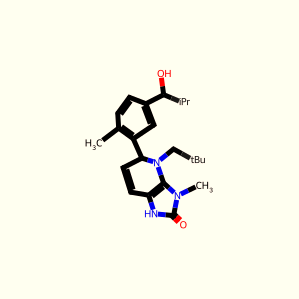 Cc1ccc(C(O)C(C)C)cc1C1C=Cc2[nH]c(=O)n(C)c2N1CC(C)(C)C